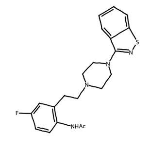 CC(=O)Nc1ccc(F)cc1CCN1CCN(c2nsc3ccccc23)CC1